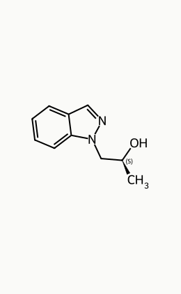 C[C@H](O)Cn1ncc2ccccc21